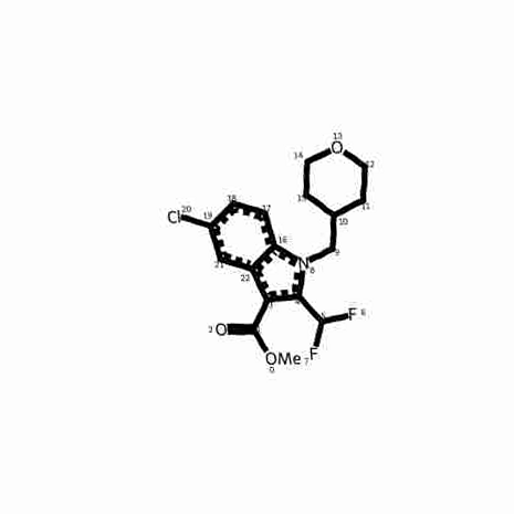 COC(=O)c1c(C(F)F)n(CC2CCOCC2)c2ccc(Cl)cc12